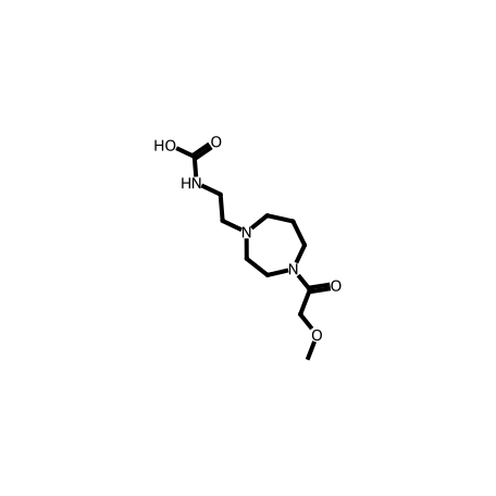 COCC(=O)N1CCCN(CCNC(=O)O)CC1